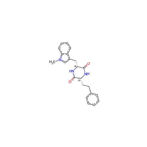 Cn1cc(C[C@H]2NC(=O)[C@@H](CCc3ccccc3)NC2=O)c2ccccc21